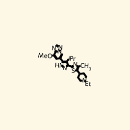 CCN1CCC(c2sc(-c3n[nH]c(-c4cc(OC)c5ncnn5c4)c3C(C)C)nc2C)CC1